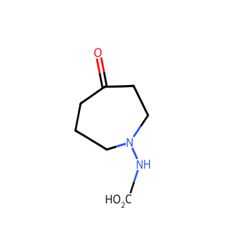 O=C1CCCN(NC(=O)O)CC1